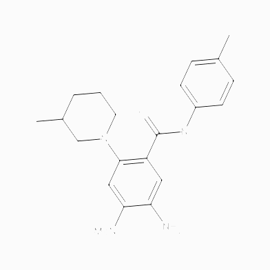 CNc1cc(N2CCCC(C)C2)c(C(=O)Nc2ccc(C)cc2)cc1N